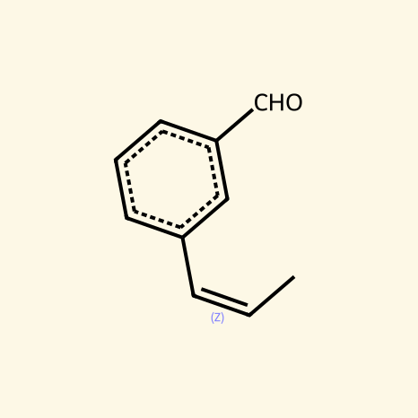 C/C=C\c1cccc(C=O)c1